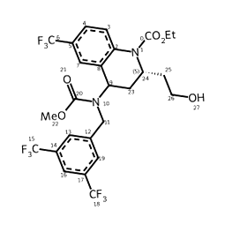 CCOC(=O)N1c2ccc(C(F)(F)F)cc2C(N(Cc2cc(C(F)(F)F)cc(C(F)(F)F)c2)C(=O)OC)C[C@H]1CCO